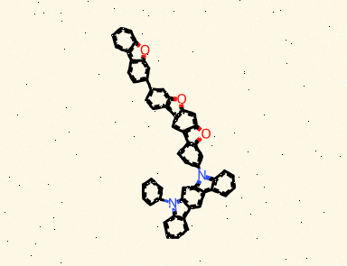 c1ccc(-n2c3ccccc3c3cc4c5ccccc5n(-c5ccc6c(c5)oc5cc7oc8cc(-c9ccc%10c(c9)oc9ccccc9%10)ccc8c7cc56)c4cc32)cc1